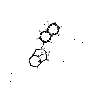 CN1C2CCCC1CN(c1ccc3ncccc3c1)CC2